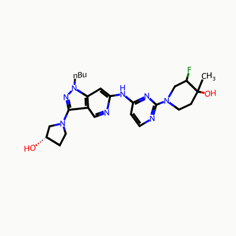 CCCCn1nc(N2CC[C@H](O)C2)c2cnc(Nc3ccnc(N4CCC(C)(O)C(F)C4)n3)cc21